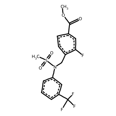 COC(=O)c1ccc(CN(c2cccc(C(F)(F)F)c2)S(C)(=O)=O)c(F)c1